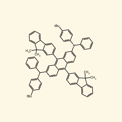 CC(C)(C)c1ccc(C(c2ccccc2)c2ccc3c(-c4ccc5c(c4)C(C)(C)c4ccccc4-5)c4ccc(N(c5ccccc5)c5ccc(C(C)(C)C)cc5)cc4c(-c4ccc5c(c4)C(C)(C)c4ccccc4-5)c3c2)cc1